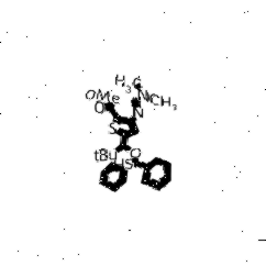 COC(=O)c1sc(C(O[SiH](c2ccccc2)c2ccccc2)C(C)(C)C)cc1N=CN(C)C